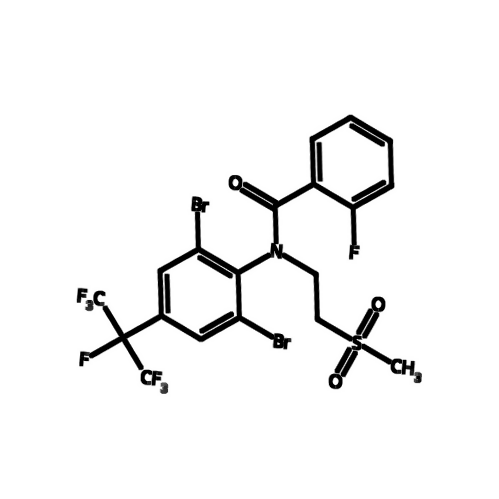 CS(=O)(=O)CCN(C(=O)c1ccccc1F)c1c(Br)cc(C(F)(C(F)(F)F)C(F)(F)F)cc1Br